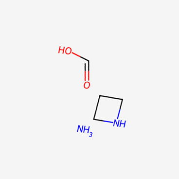 C1CNC1.N.O=CO